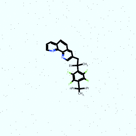 CCCC(C)(CCC)c1c(F)c(F)c(C(C)(CC)Cc2cnc3c(ccc4cccnc43)c2)c(F)c1F